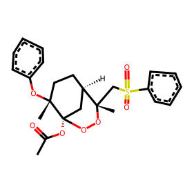 CC(=O)O[C@@]12C[C@@H](CC[C@@]1(C)Oc1ccccc1)[C@](C)(CS(=O)(=O)c1ccccc1)OO2